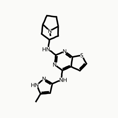 Cc1cc(Nc2nc(NC3CC4CCC(C3)N4C)nc3sccc23)n[nH]1